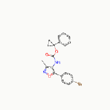 Cc1noc(-c2ccc(Br)cc2)c1NC(=O)OC1(c2ccccc2)CC1